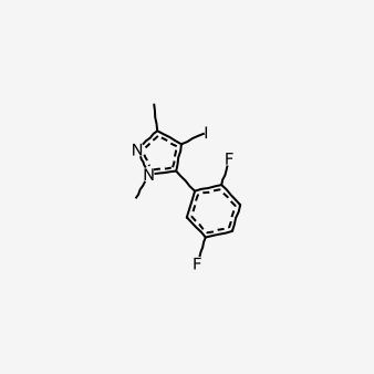 Cc1nn(C)c(-c2cc(F)ccc2F)c1I